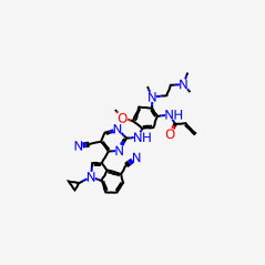 C=CC(=O)Nc1cc(Nc2ncc(C#N)c(-c3cn(C4CC4)c4cccc(C#N)c34)n2)c(OC)cc1N(C)CCN(C)C